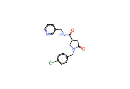 O=C(NCc1cccnc1)C1CC(=O)N(Cc2ccc(Cl)cc2)C1